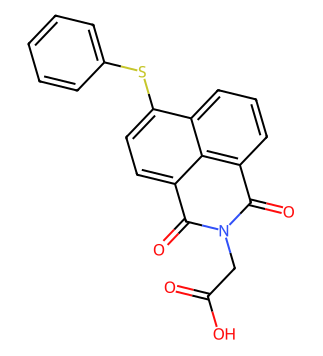 O=C(O)CN1C(=O)c2cccc3c(Sc4ccccc4)ccc(c23)C1=O